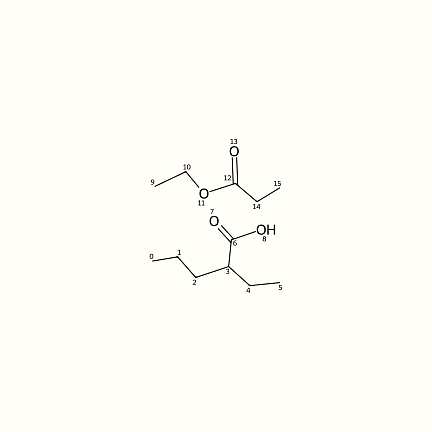 CCCC(CC)C(=O)O.CCOC(=O)CC